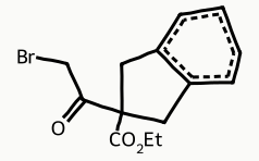 CCOC(=O)C1(C(=O)CBr)Cc2ccccc2C1